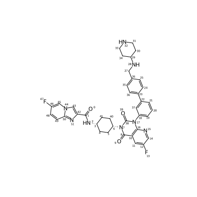 O=C(N[C@H]1CC[C@@H](n2c(=O)c3cc(F)cnc3n(-c3cccc(-c4ccc(CNC5CCNCC5)cc4)c3)c2=O)CC1)c1cn2cc(F)ccc2n1